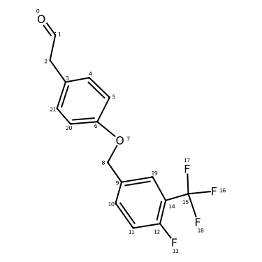 O=[C]Cc1ccc(OCc2ccc(F)c(C(F)(F)F)c2)cc1